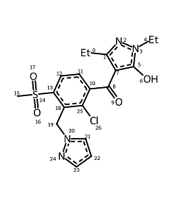 CCc1nn(CC)c(O)c1C(=O)c1ccc(S(C)(=O)=O)c(Cn2cccn2)c1Cl